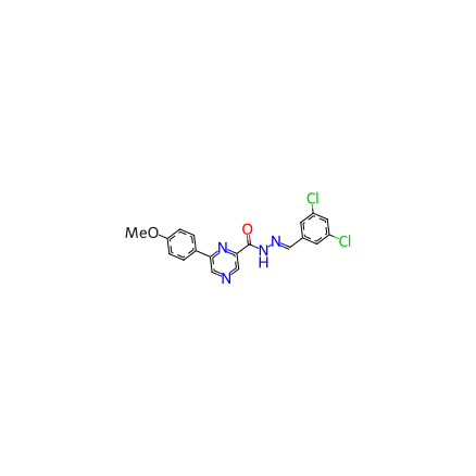 COc1ccc(-c2cncc(C(=O)NN=Cc3cc(Cl)cc(Cl)c3)n2)cc1